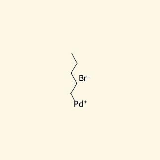 CCCC[CH2][Pd+].[Br-]